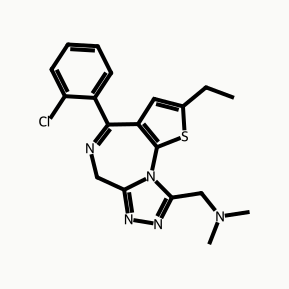 CCc1cc2c(s1)-n1c(nnc1CN(C)C)CN=C2c1ccccc1Cl